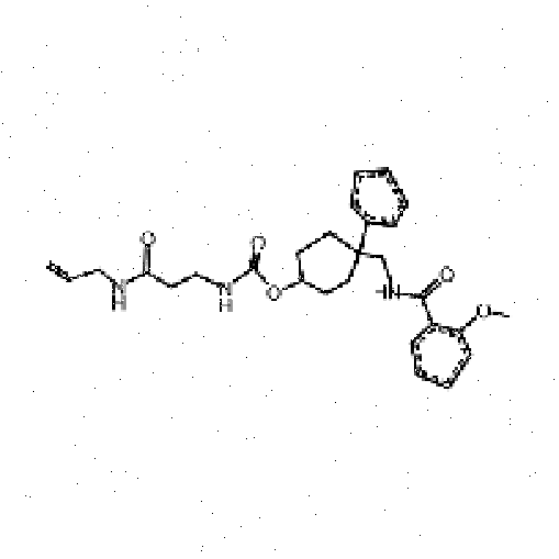 C=CCNC(=O)CCNC(=O)OC1CCC(CNC(=O)c2ccccc2OC)(c2ccccc2)CC1